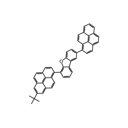 CC(C)(C)c1cc2ccc3ccc(-c4cccc5c4oc4ccc(-c6ccc7ccc8cccc9ccc6c7c89)cc45)c4ccc(c1)c2c34